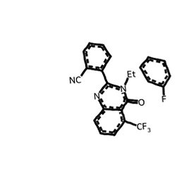 CCn1c(-c2ccccc2C#N)nc2cccc(C(F)(F)F)c2c1=O.Fc1ccccc1